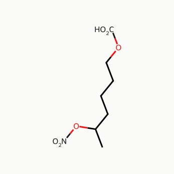 CC(CCCCOC(=O)O)O[N+](=O)[O-]